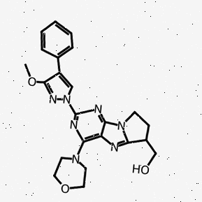 COc1nn(-c2nc(N3CCOCC3)c3nc4n(c3n2)CCC4CO)cc1-c1ccccc1